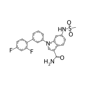 CS(=O)(=O)Nc1ccc2c(C(N)=O)cn(-c3cccc(-c4ccc(F)cc4F)c3)c2c1